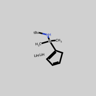 CC(C)(C)N[Si](C)(C)C1=CC=CC1.[LiH].[LiH]